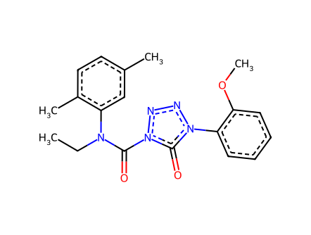 CCN(C(=O)n1nnn(-c2ccccc2OC)c1=O)c1cc(C)ccc1C